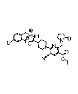 CCOC(=O)c1cc(C#N)c(N2CCC(C(=O)NS(=O)(=O)Cc3ccc(Cl)cc3F)CC2)nc1CN1CCCC1=O